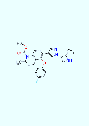 COC(=O)N1c2ccc(-c3cnn([C@H]4CN[C@H]4C)c3)c(Oc3ccc(F)cc3)c2CC[C@@H]1C